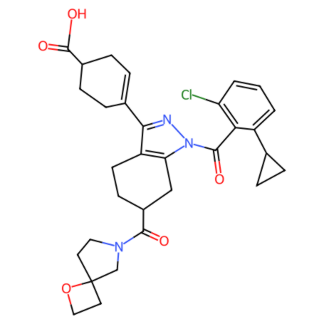 O=C(O)C1CC=C(c2nn(C(=O)c3c(Cl)cccc3C3CC3)c3c2CCC(C(=O)N2CCC4(CCO4)C2)C3)CC1